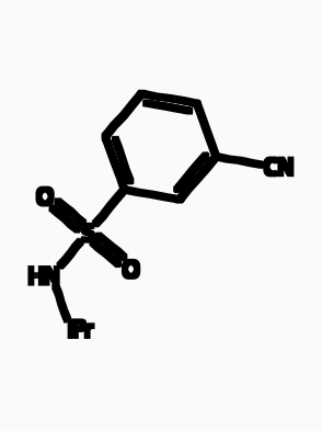 CC(C)NS(=O)(=O)c1cccc(C#N)c1